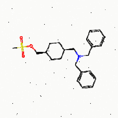 CS(=O)(=O)OC[C@H]1CC[C@@H](CN(Cc2ccccc2)Cc2ccccc2)CC1